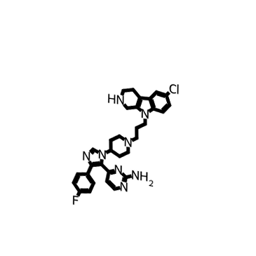 Nc1nccc(-c2c(-c3ccc(F)cc3)ncn2C2CCN(CCCn3c4c(c5cc(Cl)ccc53)CCNC4)CC2)n1